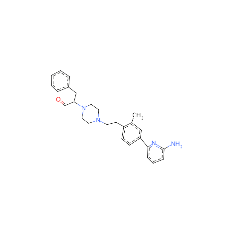 Cc1cc(-c2cccc(N)n2)ccc1CCN1CCN(C(C=O)Cc2ccccc2)CC1